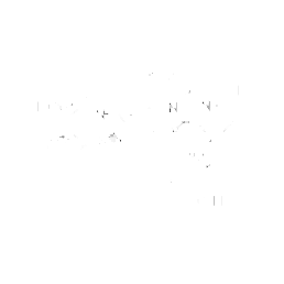 Cc1ccc(OCC(C)C)c(C(=O)N2CCCC[C@H]2Cc2cn3cc(C)c(C)cc3n2)n1